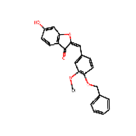 CCOc1cc(C=C2Oc3cc(O)ccc3C2=O)ccc1OCc1ccccc1